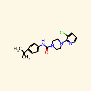 C=C(C)c1ccc(NC(=O)N2CCN(c3ncccc3Cl)CC2)cc1